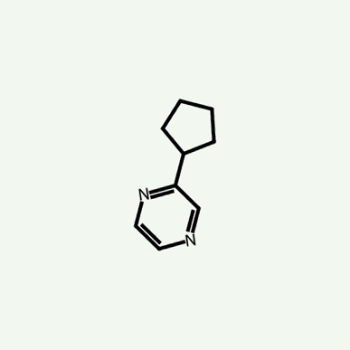 c1cnc(C2CCCC2)cn1